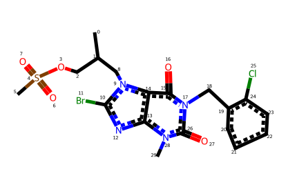 CC(COS(C)(=O)=O)Cn1c(Br)nc2c1c(=O)n(Cc1ccccc1Cl)c(=O)n2C